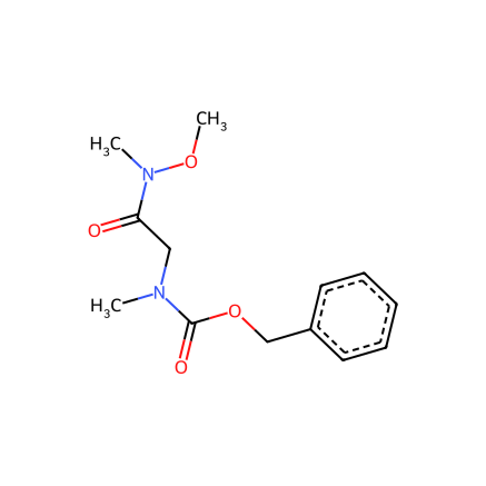 CON(C)C(=O)CN(C)C(=O)OCc1ccccc1